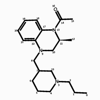 CCCN1CCCC(CN2C[C@H](C)N(C(C)=O)c3ccccc32)C1